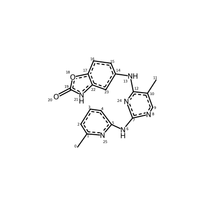 Cc1cccc(Nc2ncc(C)c(Nc3ccc4oc(=O)[nH]c4c3)n2)n1